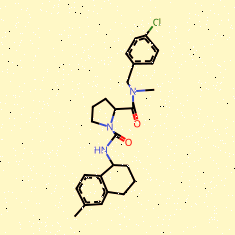 Cc1ccc2c(c1)CCCC2NC(=O)N1CCCC1C(=O)N(C)Cc1ccc(Cl)cc1